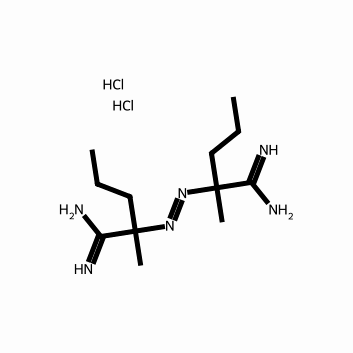 CCCC(C)(N=NC(C)(CCC)C(=N)N)C(=N)N.Cl.Cl